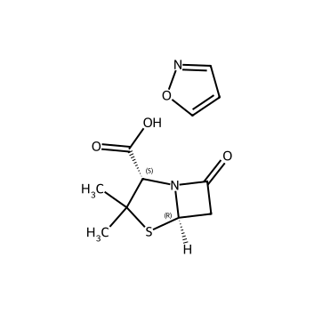 CC1(C)S[C@@H]2CC(=O)N2[C@H]1C(=O)O.c1cnoc1